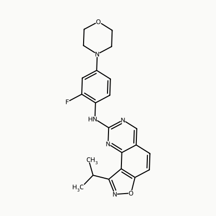 CC(C)c1noc2ccc3cnc(Nc4ccc(N5CCOCC5)cc4F)nc3c12